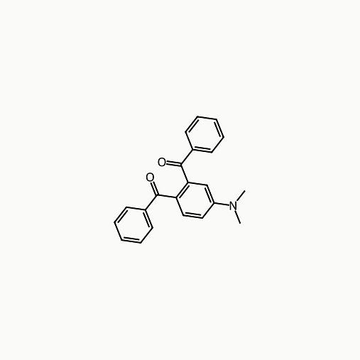 CN(C)c1ccc(C(=O)c2ccccc2)c(C(=O)c2ccccc2)c1